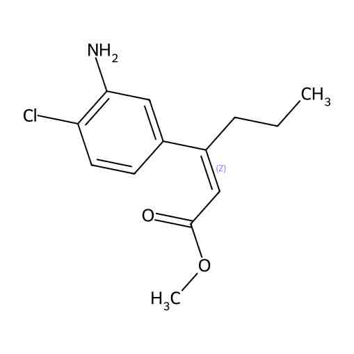 CCC/C(=C/C(=O)OC)c1ccc(Cl)c(N)c1